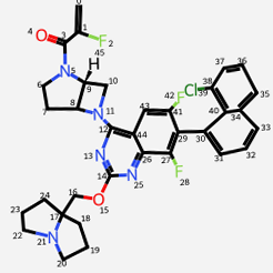 C=C(F)C(=O)N1CCC2[C@H]1CN2c1nc(OCC23CCCN2CCC3)nc2c(F)c(-c3cccc4cccc(Cl)c34)c(F)cc12